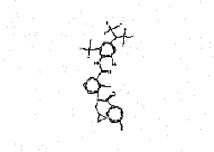 O=C(Nc1c(Br)cc(C(C(F)(F)F)C(F)(F)F)cc1C(F)(F)F)c1cccc(N(CC2CC2)C(=O)c2ccc(F)cc2)c1F